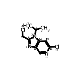 CC(C)n1c(CCl)nc2cnc(Cl)cc21